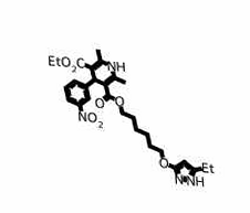 CCOC(=O)C1=C(C)NC(C)=C(C(=O)OCCCCCCOc2cc(CC)[nH]n2)C1c1cccc([N+](=O)[O-])c1